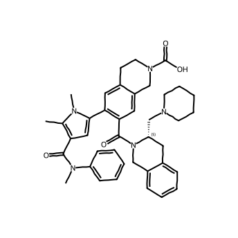 Cc1c(C(=O)N(C)c2ccccc2)cc(-c2cc3c(cc2C(=O)N2Cc4ccccc4C[C@H]2CN2CCCCC2)CN(C(=O)O)CC3)n1C